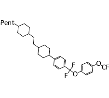 CCCCCC1CCC(CCC2CCC(c3ccc(C(F)(F)Oc4ccc(OC(F)(F)F)cc4)cc3)CC2)CC1